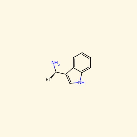 CC[C@@H](N)c1c[nH]c2ccccc12